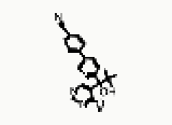 COc1ncncc1C(O)(c1ccc(-c2ccc(C#N)cc2)cn1)C(C)(C)C